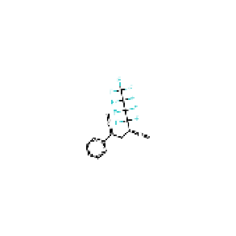 C=C=C(CC(=C=C)C(F)(F)C(F)(F)C(F)(F)C(F)(F)F)c1ccccc1